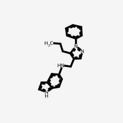 CCCc1c(CNc2ccc3[nH]ccc3c2)cnn1-c1ccccc1